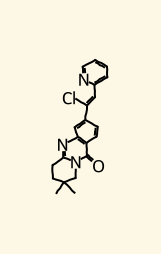 CC1(C)CCc2nc3cc(C(Cl)=Cc4ccccn4)ccc3c(=O)n2C1